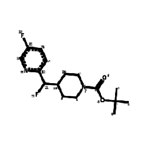 CC(C)(C)OC(=O)N1CCC(C(F)c2ccc(F)cn2)CC1